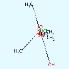 C=CCN(C)C.CCCCCCCCCCCCCCCCCC(=O)OCC(COC(=O)CCCCCCCCCCCCCCCCCCCCO)OC(=O)CCCCCCCCCCCCCCCCC.Cl